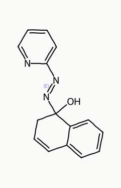 OC1(/N=N/c2ccccn2)CC=Cc2ccccc21